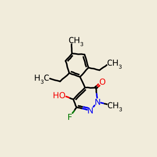 CCc1cc(C)cc(CC)c1-c1c(O)c(F)nn(C)c1=O